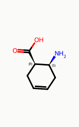 N[C@H]1CC=CC[C@H]1C(=O)O